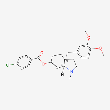 COc1ccc(C[C@@]23CCC(OC(=O)c4ccc(Cl)cc4)=C[C@@H]2N(C)CC3)cc1OC